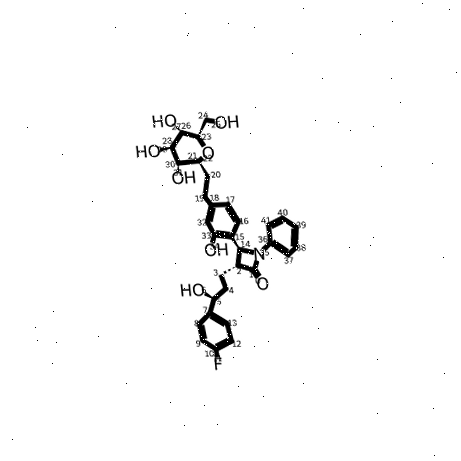 O=C1[C@H](CC[C@H](O)c2ccc(F)cc2)[C@@H](c2ccc(CC[C@@H]3O[C@H](CO)[C@@H](O)[C@H](O)[C@H]3O)cc2O)N1c1ccccc1